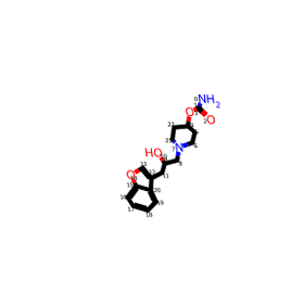 NC(=O)OC1CCN(CC(O)Cc2coc3ccccc23)CC1